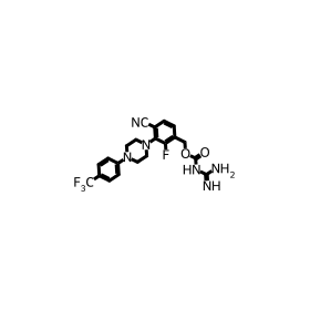 N#Cc1ccc(COC(=O)NC(=N)N)c(F)c1N1CCN(c2ccc(C(F)(F)F)cc2)CC1